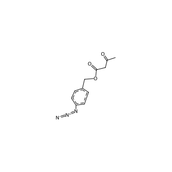 CC(=O)CC(=O)OCc1ccc(N=[N+]=[N-])cc1